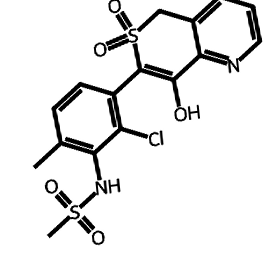 Cc1ccc(C2=C(O)c3ncccc3CS2(=O)=O)c(Cl)c1NS(C)(=O)=O